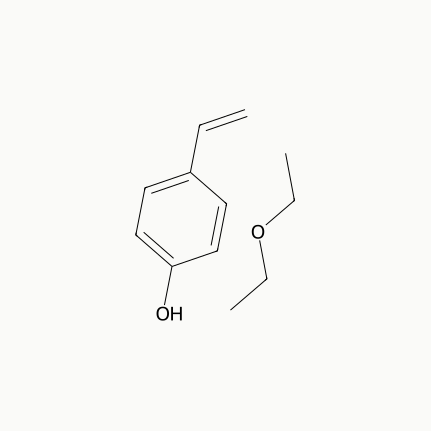 C=Cc1ccc(O)cc1.CCOCC